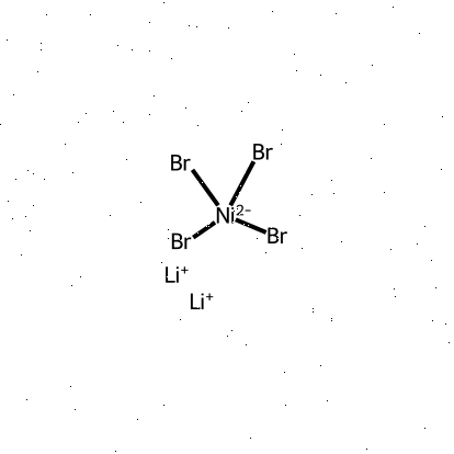 [Br][Ni-2]([Br])([Br])[Br].[Li+].[Li+]